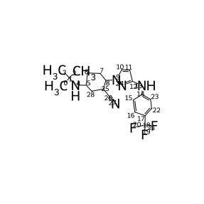 CC(C)(C)NC1CCC(n2ccc(Nc3ccc(C(F)(F)F)cc3)n2)C(C#N)C1